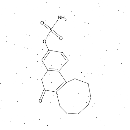 NS(=O)(=O)Oc1ccc2c(c1)CC(=O)C1=C2CCCCCCC1